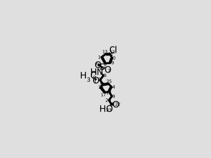 COC(CNS(=O)(=O)c1ccc(Cl)cc1)c1ccc(CCC(=O)O)cc1